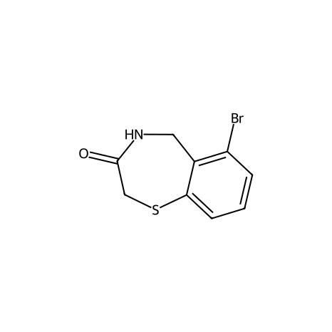 O=C1CSc2cccc(Br)c2CN1